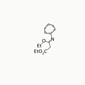 CCOC(=O)CC(=Nc1ccccc1)OCC